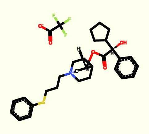 O=C(O[C@H]1C[N+]2(CCCSc3ccccc3)CCC1CC2)[C@](O)(c1ccccc1)C1CCCC1.O=C([O-])C(F)(F)F